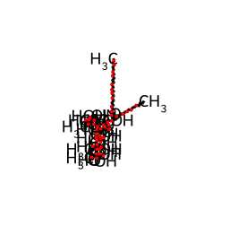 CCCCCCCCCCCCC/C=C/[C@@H](O)[C@H](CO[C@@H]1OC(CO)[C@@H](O[C@@H]2OC(CO[C@@H]3OC(CO)[C@@H](O)[C@H](O)C3NC(C)=O)[C@H](O)[C@H](O[C@H]3OC(CO)[C@H](O)[C@H](O[C@@H]4OC(CO)[C@H](O)[C@H](O[C@H]5OC(CO)[C@H](O)[C@H](O)C5NC(C)=O)C4NC(C)=O)C3O)C2O)[C@H](O)C1O)NC(=O)CCCCCCCCCCCCCCCCCCCCCCCCC